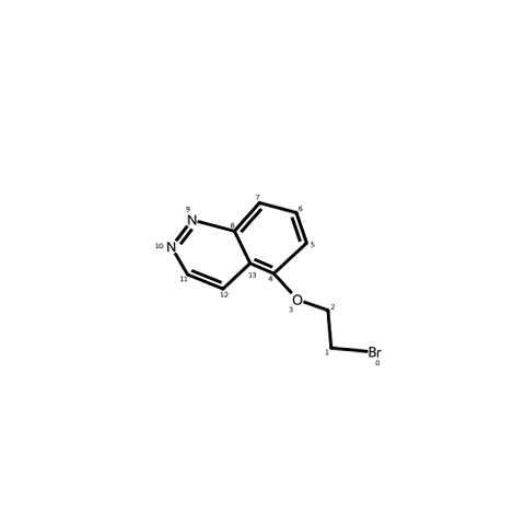 BrCCOc1cccc2nnccc12